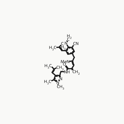 C=Nc1c(C#N)cc(C/C(=C/C(=C)C(=O)NCc2nn(C)c(C)c2C=C(C)C)NC)cc1C=C(C)C